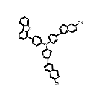 N#Cc1ccc2cc(-c3ccc(N(c4ccc(-c5ccc6cc(C#N)ccc6c5)cc4)c4ccc(-c5cccc6c5oc5ccccc56)cc4)cc3)ccc2c1